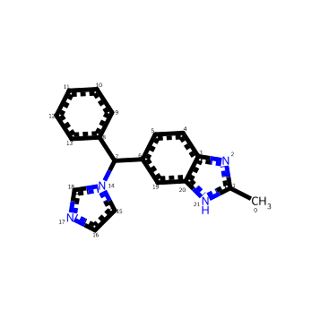 Cc1nc2ccc(C(c3ccccc3)n3ccnc3)cc2[nH]1